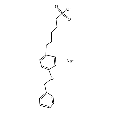 O=S(=O)([O-])CCCCCc1ccc(OCc2ccccc2)cc1.[Na+]